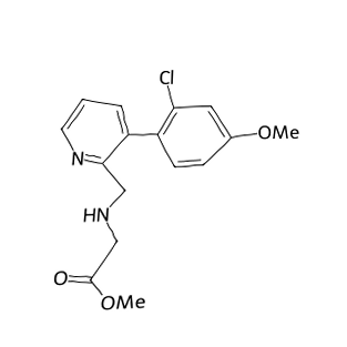 COC(=O)CNCc1ncccc1-c1ccc(OC)cc1Cl